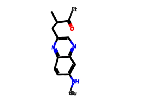 CCC(=O)C(C)Cc1cnc2cc(NC(C)(C)C)ccc2n1